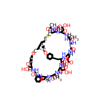 CC(=O)N[C@H]1CSCc2cc3cc(c2)COc2ccc(cc2)[C@@H](C(=O)O)NC(=O)CNC(=O)[C@H](Cc2ccccc2)NC(=O)[C@H](C)NC(=O)[C@H](CC(=O)O)NC(=O)[C@H](Cc2ccc(cc2)OC3)NC(=O)[C@H](CCC(=O)O)NC(=O)CNC(=O)[C@H](C)NC(=O)[C@H](CC(=O)O)NC1=O